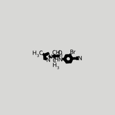 Cc1cnn(C(C)(C)C(=O)Nc2ccc(C#N)c(Br)c2)c1